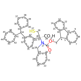 O=C(OCC1c2ccccc2-c2ccccc21)N(Cc1ccccc1)[C@@](CS)(C(=O)O)c1cccc(C(c2ccccc2)c2ccccc2)c1